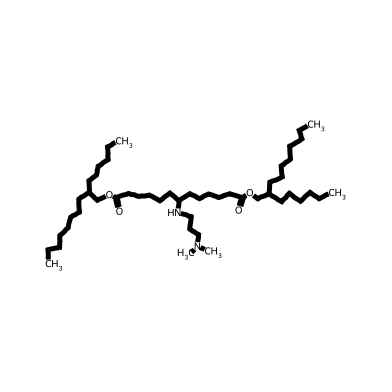 CCCCCCCCC(CCCCCC)COC(=O)CCCCCC(CCCCCC(=O)OCC(CCCCCC)CCCCCCCC)NCCCN(C)C